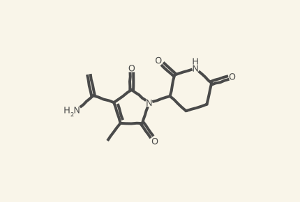 C=C(N)C1=C(C)C(=O)N(C2CCC(=O)NC2=O)C1=O